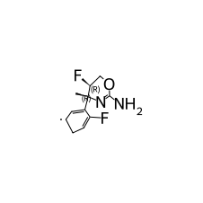 C[C@]1(C2=C[CH]CC=C2F)N=C(N)OC[C@@H]1F